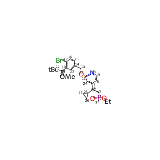 CCOP(C)(=O)C[C@H](c1ccnc(OCc2ccc(Br)c([C@@H](OC)C(C)(C)C)c2)c1)C1CC1